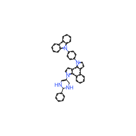 C1=C(n2ccc3c2c2ccccc2c2ccn(-c4ccc(-n5c6ccccc6c6ccccc65)cc4)c23)CNC(c2ccccc2)N1